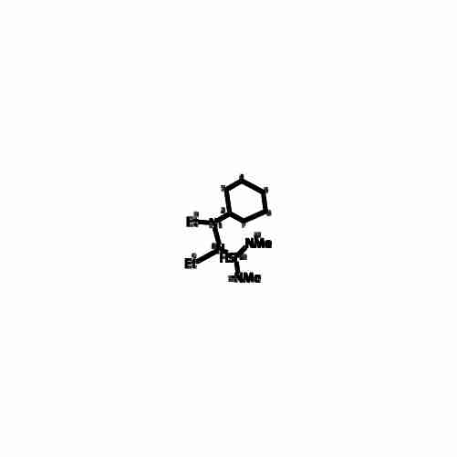 CCN(C1CCCCC1)N(CC)[SiH](NC)NC